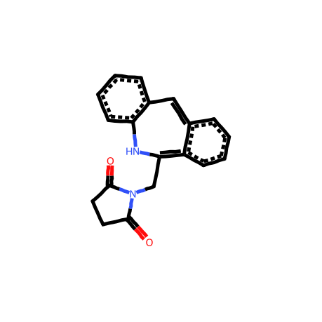 O=C1CCC(=O)N1CC1=c2ccccc2=Cc2ccccc2N1